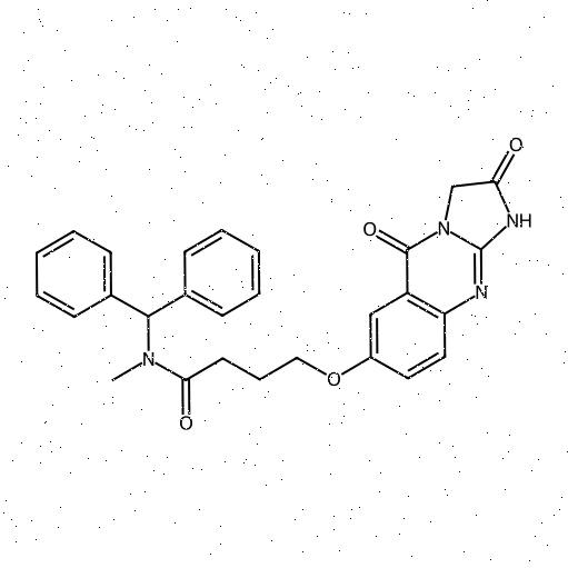 CN(C(=O)CCCOc1ccc2nc3n(c(=O)c2c1)CC(=O)N3)C(c1ccccc1)c1ccccc1